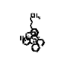 CCCCc1ccc(-c2ccccc2)c2c1Cc1cccc(C3(OC(C)C)C=CC=CC3)c1-2